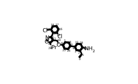 C=Cc1cc(-c2ccc(OCc3c(-c4c(Cl)cccc4Cl)noc3C(C)C)cc2)ccc1N